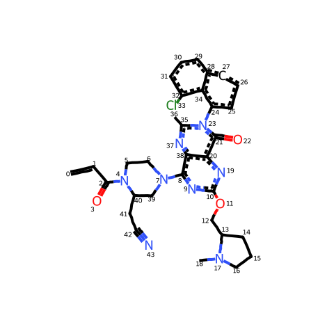 C=CC(=O)N1CCN(c2nc(OCC3CCCN3C)nc3c(=O)n(-c4cccc5cccc(Cl)c45)c(C)nc23)CC1CC#N